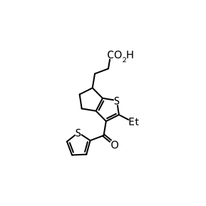 CCc1sc2c(c1C(=O)c1cccs1)CCC2CCC(=O)O